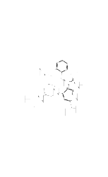 Cn1c(=O)n(Cc2ccccc2C#N)c2c(N3CCC[C@@H](N)C3)cc(C(F)F)nc21